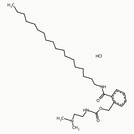 CCCCCCCCCCCCCCCCCCNC(=O)c1ccccc1COC(=O)NCCN(C)C.Cl